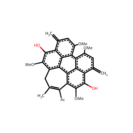 C=c1cc(OC)c2c3c(OC)cc(=C)c4c(O)c(OC)c5c(c6c(c(OC)c(O)c1c26)CC(C)=C5C(C)=O)c43